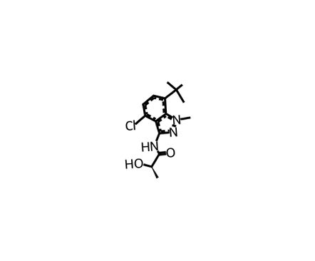 C[C@@H](O)C(=O)Nc1nn(C)c2c(C(C)(C)C)ccc(Cl)c12